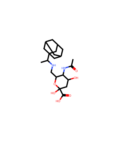 CC(=O)NC1C(O)CC(O)(C(=O)O)OC1CNC(C)C12CC3CC(CC(C3)C1)C2